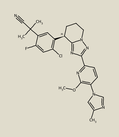 COc1nc(-c2nc3n(n2)CCC[C@@H]3c2cc(C(C)(C)C#N)c(F)cc2Cl)ccc1-n1cnc(C)c1